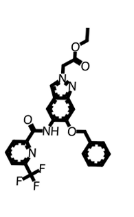 CCOC(=O)Cn1cc2cc(NC(=O)c3cccc(C(F)(F)F)n3)c(OCc3ccccc3)cc2n1